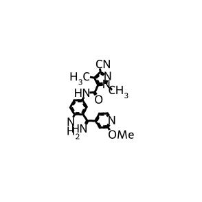 COc1cc(C(=N)c2cc(NC(=O)c3c(C)c(C#N)nn3C)ccc2N)ccn1